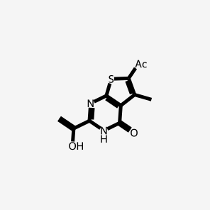 C=C(O)c1nc2sc(C(C)=O)c(C)c2c(=O)[nH]1